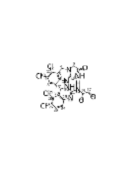 O=C1CN2Cc3c(ccc(Cl)c3Cl)N=C2N1.O=CC(=O)NC1=Nc2ccc(Cl)c(Cl)c2CN1